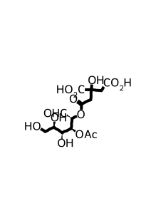 CC(=O)O[C@@H]([C@H](O)[C@H](O)CO)[C@H](C=O)OC(=O)CC(O)(CC(=O)O)C(=O)O